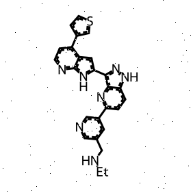 CCNCc1cncc(-c2ccc3[nH]nc(-c4cc5c(-c6ccsc6)ccnc5[nH]4)c3n2)c1